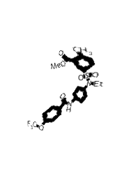 CCN(c1ccc(NC(=O)c2ccc(OC(F)(F)F)cc2)cc1)S(=O)(=O)c1ccc(C)c(C(=O)OC)c1